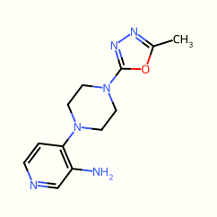 Cc1nnc(N2CCN(c3ccncc3N)CC2)o1